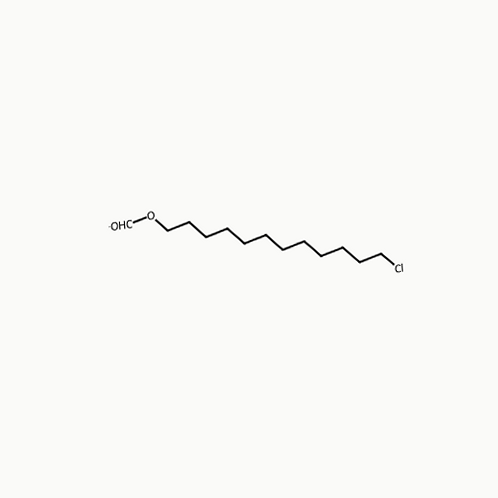 O=[C]OCCCCCCCCCCCCCl